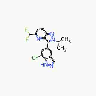 CC(C)n1nc2ccc(C(F)F)nc2c1-c1cc(Cl)c2[nH]ncc2c1